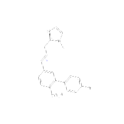 Cn1ccnc1C/C=C/c1ccc(C(=O)O)c(-c2ccc(F)cc2)c1